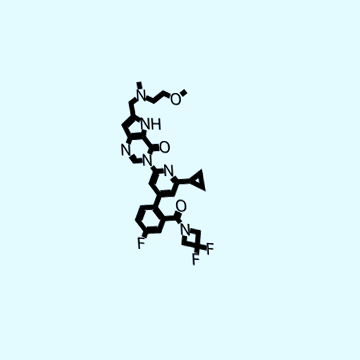 COCCN(C)Cc1cc2ncn(-c3cc(-c4ccc(F)cc4C(=O)N4CC(F)(F)C4)cc(C4CC4)n3)c(=O)c2[nH]1